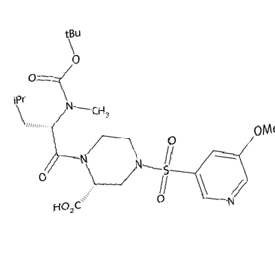 COc1cncc(S(=O)(=O)N2CCN(C(=O)[C@H](CC(C)C)N(C)C(=O)OC(C)(C)C)[C@@H](C(=O)O)C2)c1